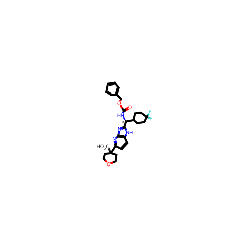 O=C(N[C@H](c1nc2nc(C3(C(=O)O)CCOCC3)ccc2[nH]1)C1CCC(F)(F)CC1)OCc1ccccc1